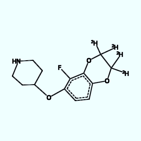 [2H]C1([2H])Oc2ccc(OC3CCNCC3)c(F)c2OC1([2H])[2H]